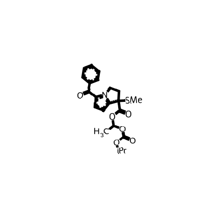 CSC1(C(=O)OC(C)OC(=O)OC(C)C)CCn2c(C(=O)c3ccccc3)ccc21